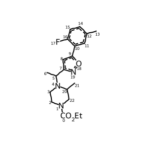 CCOC(=O)N1CCN(C(C)c2cc(-c3cc(C)ccc3F)on2)C(C)C1